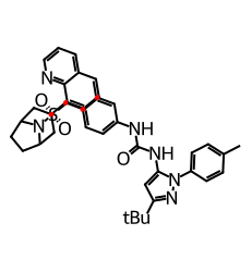 Cc1ccc(-n2nc(C(C)(C)C)cc2NC(=O)Nc2ccc(CC3CC4CCC(C3)N4S(=O)(=O)c3cccc4cccnc34)cc2)cc1